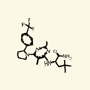 Cc1nc(NC(CC(C)(C)C)C(N)=O)c(C)c(N2CCCC2c2ccc(C(F)(F)F)cc2)n1